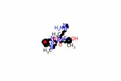 Cc1cc(O)cc(C)c1C[C@H](NC(=O)[C@H](C)CCCn1ccnc1N)C(=O)N[C@@H](Cc1cn(C)cn1)c1nc(CC23CC4CC(CC(C4)C2)C3)no1